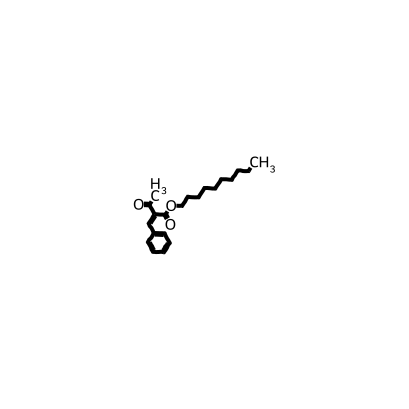 CCCCCCCCCCOC(=O)C(=Cc1ccccc1)C(C)=O